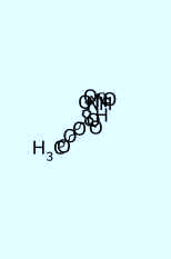 COCCOCCOCc1cc(=O)oc2cc(C(=O)NC(=O)[C@@H]3CCC(=O)N3)ccc12